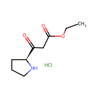 CCOC(=O)CC(=O)[C@@H]1CCCN1.Cl